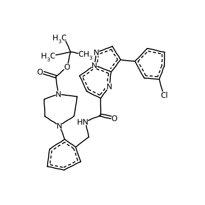 CC(C)(C)OC(=O)N1CCN(c2ccccc2CNC(=O)c2ccn3ncc(-c4cccc(Cl)c4)c3n2)CC1